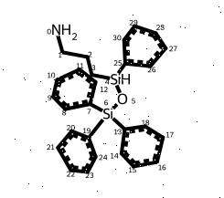 NCCC[SiH](O[Si](c1ccccc1)(c1ccccc1)c1ccccc1)c1ccccc1